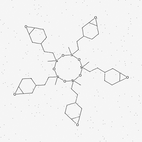 C[Si]1(CCC2CCC3OC3C2)O[Si](C)(CCC2CCC3OC3C2)O[Si](C)(CCC2CCC3OC3C2)O[Si](C)(CCC2CCC3OC3C2)O[Si](C)(CCC2CCC3OC3C2)O1